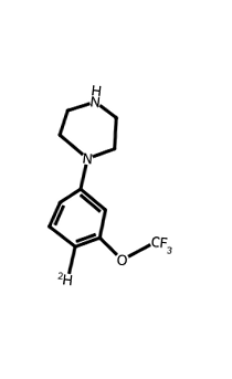 [2H]c1ccc(N2CCNCC2)cc1OC(F)(F)F